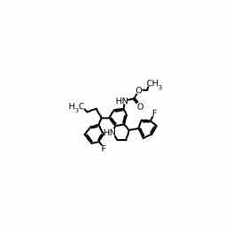 CCCC(c1cccc(F)c1)c1cc(NC(=O)OCC)cc2c1NCCC2c1cccc(F)c1